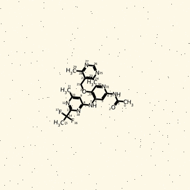 CC(=O)Nc1cc(Nc2cc(C)nc(C(C)(F)F)n2)c(OCc2c(C)ncnc2C)cn1